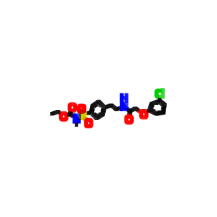 CCOC(=O)N(C)S(=O)(=O)c1ccc(CCNC(=O)COc2cccc(Cl)c2)cc1